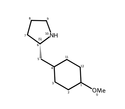 COC1CCC(C[C@@H]2CCCN2)CC1